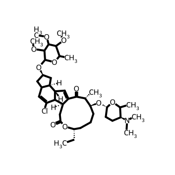 CC[C@H]1CCC[C@H](O[C@H]2CC[C@H](N(C)C)C(C)O2)[C@@H](C)C(=O)C2=C[C@@H]3C(C(Cl)=CC4C[C@@H](OC5OC(C)C(OC)C(OC)C5OC)C[C@H]43)[C@@H]2CC(=O)O1